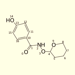 O=C(NOC1CCCCO1)c1ccc(O)cc1